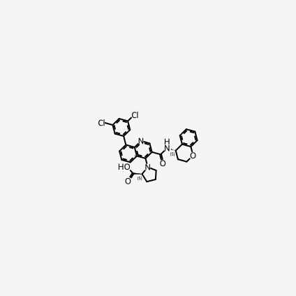 O=C(N[C@H]1CCOc2ccccc21)c1cnc2c(-c3cc(Cl)cc(Cl)c3)cccc2c1N1CCC[C@H]1C(=O)O